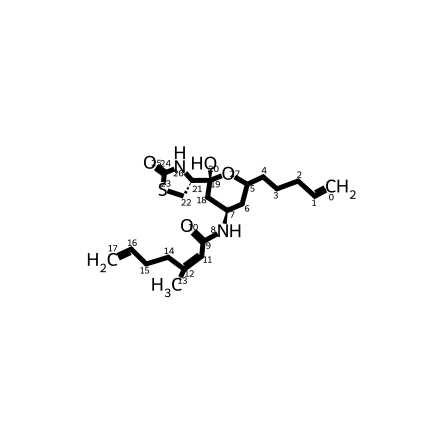 C=CCCCC1C[C@@H](NC(=O)/C=C(/C)CCC=C)C[C@](O)([C@@H]2CSC(=O)N2)O1